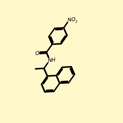 CC(NC(=O)c1ccc([N+](=O)[O-])cc1)c1cccc2ccccc12